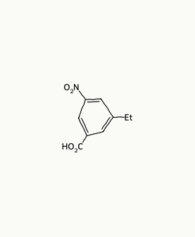 CCc1cc(C(=O)O)cc([N+](=O)[O-])c1